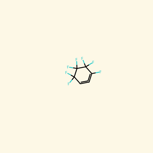 FC1=C=[C]C(F)(F)C(F)(F)C1(F)F